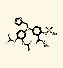 CC(C)(C)OC(=O)c1cc(N(Cc2cncs2)c2ccc(OC(F)F)c(OC(F)F)c2)ccc1O[Si](C)(C)C(C)(C)C